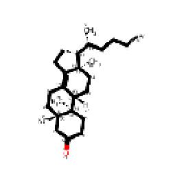 CC(C)CCC[C@@H](C)[C@H]1CCC2=C3CC[C@@]4(C#N)CC(=O)CC[C@]4(C)[C@H]3CC[C@@]21C